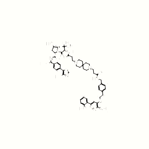 Cc1ncsc1-c1ccc([C@H](C)NC(=O)[C@@H]2C[C@@H](O)CN2C(=O)[C@@H](NC(=O)CCN2CCC3(CCN(CCC(=O)NCc4ccc(CCOc5cc(-c6ccccc6O)nnc5N)cc4)CC3)CC2)C(C)(C)C)cc1